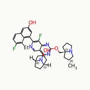 CCc1c(F)ccc2cc(O)cc(-c3ncc4c(N5[C@@H]6CC[C@H]5C[C@@H](O)C6)nc(OC[C@@]56CCCN5C[C@H](C)C6)nc4c3F)c12